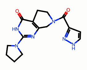 O=C(c1cc[nH]n1)N1CCc2c(nc(N3CCCC3)[nH]c2=O)C1